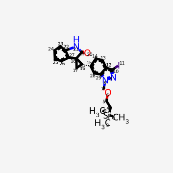 C[Si](C)(C)CCOCn1nc(I)c2ccc([C@@H]3CC34C(=O)Nc3ccccc34)cc21